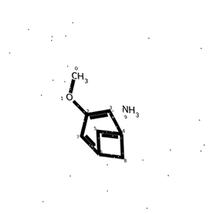 COc1cc2cc(c1)C2.N